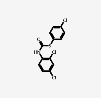 O=C(Nc1ccc(Cl)cc1Cl)Sc1ccc(Cl)cc1